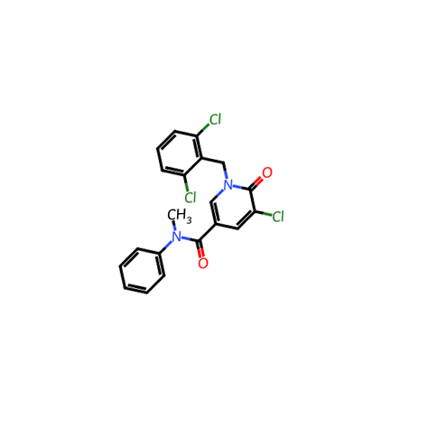 CN(C(=O)c1cc(Cl)c(=O)n(Cc2c(Cl)cccc2Cl)c1)c1ccccc1